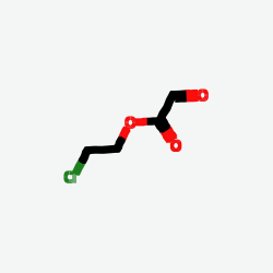 O=CC(=O)OCCCl